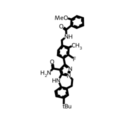 COc1ccccc1C(=O)NCc1ccc(-c2nn3c(c2C(N)=O)Nc2ccc(C(C)(C)C)cc2CC3)c(F)c1C